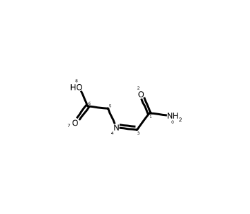 NC(=O)/C=N\CC(=O)O